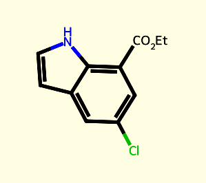 CCOC(=O)c1cc(Cl)cc2cc[nH]c12